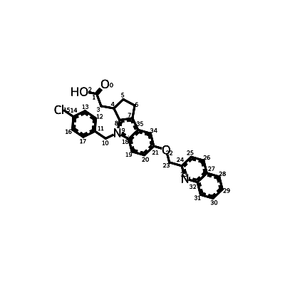 O=C(O)CC1CCc2c1n(Cc1ccc(Cl)cc1)c1ccc(OCc3ccc4ccccc4n3)cc21